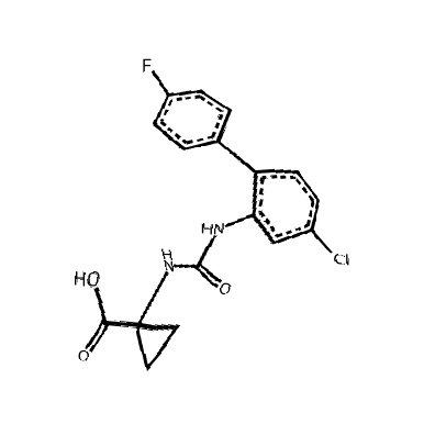 O=C(Nc1cc(Cl)ccc1-c1ccc(F)cc1)NC1(C(=O)O)CC1